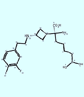 N[C@](CCCCB(O)O)(C(=O)O)[C@H]1C[C@H](NCCc2ccc(F)c(F)c2)C1